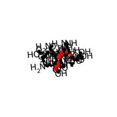 CC(C)C[C@H](NC(=O)[C@H](CCCNC(=N)N)NC(=O)[C@@H](NC(=O)[C@H](CC(C)C)NC(=O)[C@H](CC(=O)O)NC(=O)[C@H](CCCCN)NC(=O)[C@H](CCCNC(=N)N)NC(=O)[C@H](CCC(N)=O)NC(=O)[C@H](CCC(=O)O)NC(=O)[C@H](C)N)[C@@H](C)O)C(=O)N[C@@H](CO)C(=O)O